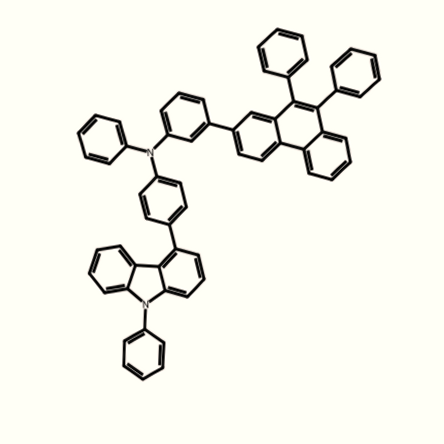 c1ccc(-c2c(-c3ccccc3)c3cc(-c4cccc(N(c5ccccc5)c5ccc(-c6cccc7c6c6ccccc6n7-c6ccccc6)cc5)c4)ccc3c3ccccc23)cc1